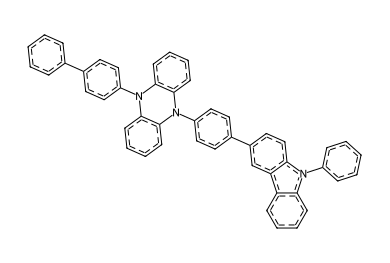 c1ccc(-c2ccc(N3c4ccccc4N(c4ccc(-c5ccc6c(c5)c5ccccc5n6-c5ccccc5)cc4)c4ccccc43)cc2)cc1